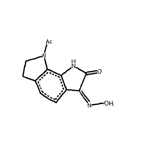 CC(=O)N1CCc2ccc3c(c21)NC(=O)/C3=N\O